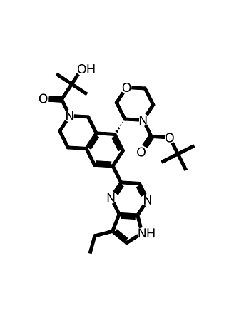 CCc1c[nH]c2ncc(-c3cc4c(c([C@@H]5COCCN5C(=O)OC(C)(C)C)c3)CN(C(=O)C(C)(C)O)CC4)nc12